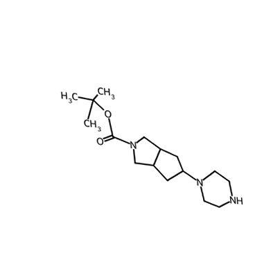 CC(C)(C)OC(=O)N1CC2CC(N3CCNCC3)CC2C1